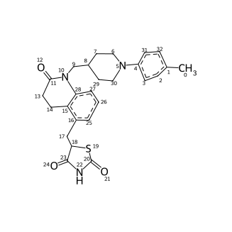 Cc1ccc(N2CCC(CN3C(=O)CCc4c(CC5SC(=O)NC5=O)cccc43)CC2)cc1